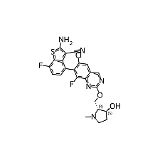 CN1CC[C@H](O)[C@H]1COc1ncc2cc(Cl)c(-c3ccc(F)c4sc(N)c(C#N)c34)c(F)c2n1